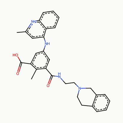 Cc1cc(Nc2cc(C(=O)O)c(C)c(C(=O)NCCN3CCc4ccccc4C3)c2)c2ccccc2n1